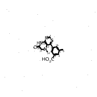 Cc1cc(C(=O)O)cc(-c2ncnc3c2N(C)CC(=O)N3)c1